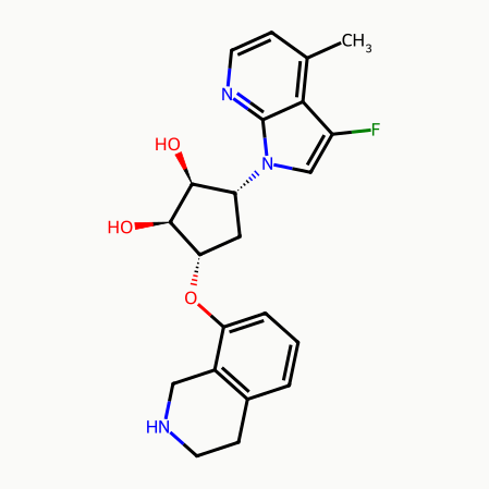 Cc1ccnc2c1c(F)cn2[C@@H]1C[C@H](Oc2cccc3c2CNCC3)[C@@H](O)[C@H]1O